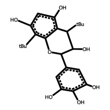 CC(C)(C)c1c(O)cc(O)c2c1OC(c1cc(O)c(O)c(O)c1)C(O)C2C(C)(C)C